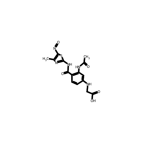 CC(=O)Nc1cc(NCC(=O)O)ccc1C(=O)Nc1nc(C)c(N=O)s1